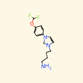 NCCCCN1C=CN(c2ccc(OC(F)F)cc2)C1